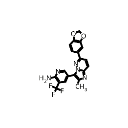 Cc1nc2ccc(-c3ccc4c(c3)OCO4)nn2c1-c1cnc(N)c(C(F)(F)F)c1